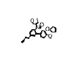 C#CCCc1ccc(N(C=O)C(C=O)CC)c(-c2ccc(OC)c(OC3CCCC3)c2)c1